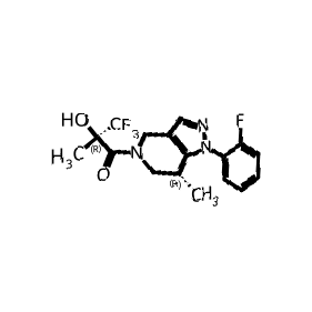 C[C@@H]1CN(C(=O)[C@@](C)(O)C(F)(F)F)Cc2cnn(-c3ccccc3F)c21